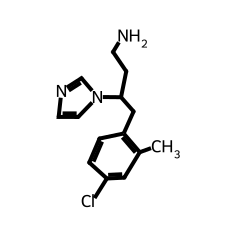 Cc1cc(Cl)ccc1CC(CCN)n1ccnc1